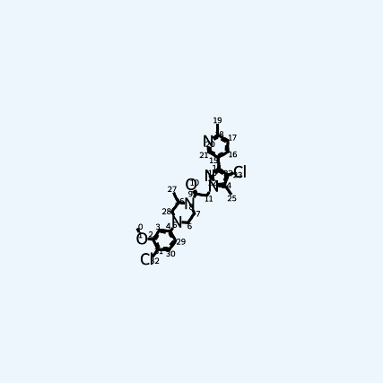 COc1cc(N2CCN(C(=O)Cn3nc(-c4ccc(C)nc4)c(Cl)c3C)C(C)C2)ccc1Cl